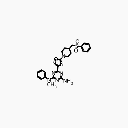 CN(c1ccccc1)c1nc(N)nc(-c2noc(N3CCC(CS(=O)(=O)c4ccccc4)CC3)n2)n1